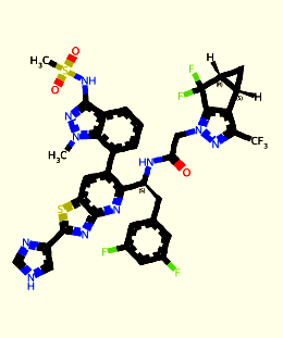 Cn1nc(NS(C)(=O)=O)c2cccc(-c3cc4sc(-c5c[nH]cn5)nc4nc3[C@H](Cc3cc(F)cc(F)c3)NC(=O)Cn3nc(C(F)(F)F)c4c3C(F)(F)[C@@H]3C[C@H]43)c21